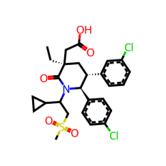 CC[C@]1(CC(=O)O)C[C@H](c2cccc(Cl)c2)[C@@H](c2ccc(Cl)cc2)N(C(CS(C)(=O)=O)C2CC2)C1=O